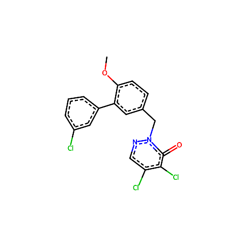 COc1ccc(Cn2ncc(Cl)c(Cl)c2=O)cc1-c1cccc(Cl)c1